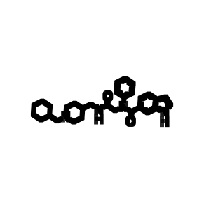 O=C(CN(C(=O)c1ccc2cc[nH]c2c1)c1ccccc1)NCC1CCN(CC2CCCCC2)CC1